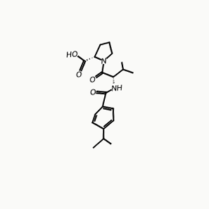 CC(C)c1ccc(C(=O)N[C@H](C(=O)N2CCC[C@H]2C(=O)O)C(C)C)cc1